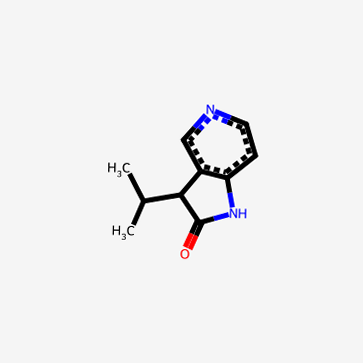 CC(C)C1C(=O)Nc2ccncc21